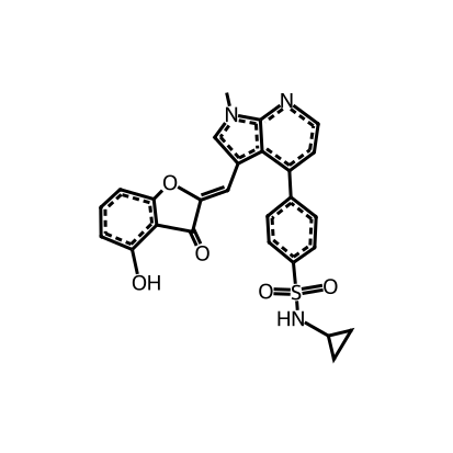 Cn1cc(C=C2Oc3cccc(O)c3C2=O)c2c(-c3ccc(S(=O)(=O)NC4CC4)cc3)ccnc21